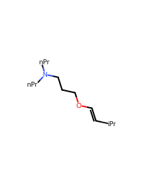 CCCN(CCC)CCCOC=CC(C)C